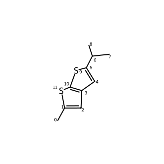 Cc1cc2cc(C(C)C)sc2s1